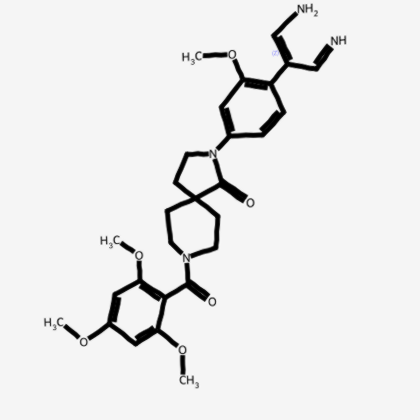 COc1cc(OC)c(C(=O)N2CCC3(CC2)CCN(c2ccc(/C(C=N)=C/N)c(OC)c2)C3=O)c(OC)c1